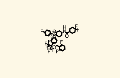 O=C(N[C@H]1CC[C@@](c2ccc(C(OCc3c(F)cccc3F)(C(F)(F)F)C(F)(F)F)cc2)(S(=O)(=O)c2ccc(F)cc2)CC1)C1CCC(F)(F)CC1